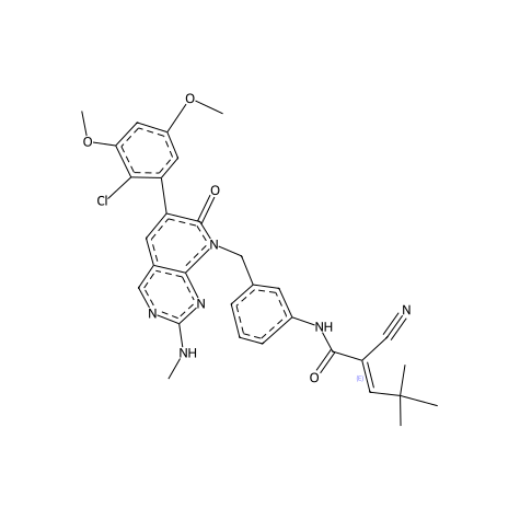 CNc1ncc2cc(-c3cc(OC)cc(OC)c3Cl)c(=O)n(Cc3cccc(NC(=O)/C(C#N)=C/C(C)(C)C)c3)c2n1